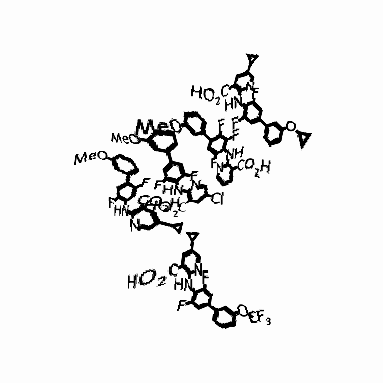 COc1cccc(-c2cc(F)c(Nc3ncc(C4CC4)cc3C(=O)O)cc2F)c1.COc1cccc(-c2cc(F)c(Nc3ncc(Cl)cc3C(=O)O)c(F)c2)c1.COc1cccc(-c2cc(F)c(Nc3ncccc3C(=O)O)c(F)c2F)c1.O=C(O)c1cc(C2CC2)cnc1Nc1c(F)cc(-c2cccc(OC(F)(F)F)c2)cc1F.O=C(O)c1cc(C2CC2)cnc1Nc1c(F)cc(-c2cccc(OC3CC3)c2)cc1F